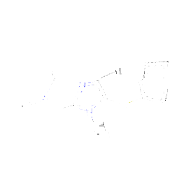 CC(C)c1nc(CN(C)C)n(C)c1Sc1cccc(Cl)c1